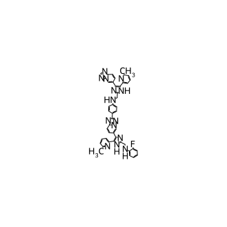 Cc1cccc(-c2[nH]c(CNc3ccc(-c4nc5ccc(-c6nc(CNc7ccccc7F)[nH]c6-c6cccc(C)n6)cn5n4)cc3)nc2-c2ccc3ncnn3c2)n1